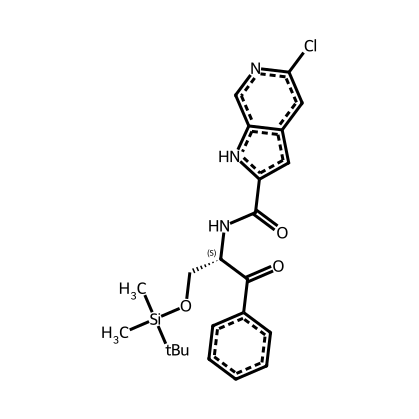 CC(C)(C)[Si](C)(C)OC[C@H](NC(=O)c1cc2cc(Cl)ncc2[nH]1)C(=O)c1ccccc1